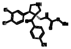 CC(C)(C)OC(=O)NC[C@@]1(C(=O)c2ccc(C#N)cc2)CNC[C@@H]1c1ccc(Cl)c(Cl)c1